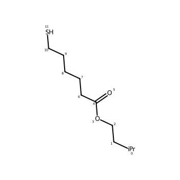 CC(C)CCOC(=O)CCCCCS